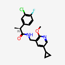 COc1ncc(C2CC2)cc1CNC(=O)[C@@H](C)c1ccc(F)c(Cl)c1